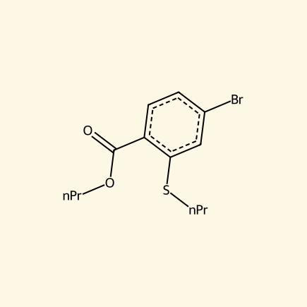 CCCOC(=O)c1ccc(Br)cc1SCCC